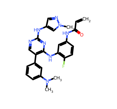 C=CC(=O)Nc1ccc(F)c(Nc2nc(Nc3cnn(C)c3)ncc2-c2cccc(N(C)C)c2)c1